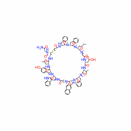 CCCC[C@H]1C(=O)N(C)CC(=O)N[C@@H](CC(=O)O)C(=O)N[C@@H](C(C)C)C(=O)N(C)[C@@H](Cc2ccccc2)C(=O)N[C@@H](Cc2ccc3ccccc3c2)C(=O)N(C)CC(=O)N[C@@H](Cc2c[nH]c3ccccc23)C(=O)N[C@@H](Cc2ccc(O)cc2)C(=O)N[C@@H](CC(C)C)C(=O)N[C@H](C(=O)NCC(N)=O)CSCC(=O)N[C@@H](Cc2ccccc2)C(=O)N(C)[C@@H](Cc2ccccc2)C(=O)N1C